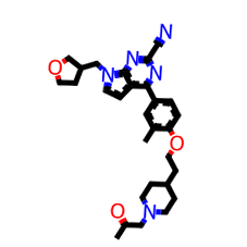 CC(=O)CN1CCC(CCOc2ccc(-c3nc(C#N)nc4c3ccn4CC3CCOC3)cc2C)CC1